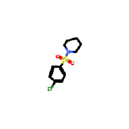 O=S(=O)(c1ccc(Cl)cc1)N1CCCCC1